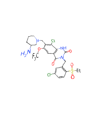 CCS(=O)(=O)c1ccc(Cl)cc1Cn1c(=O)[nH]c2c(Cl)c(CN3CCCC(N)C3)c(OC(F)(F)F)cc2c1=O